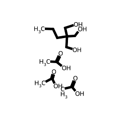 CC(=O)O.CC(=O)O.CC(=O)O.CCCC(CO)(CO)CO